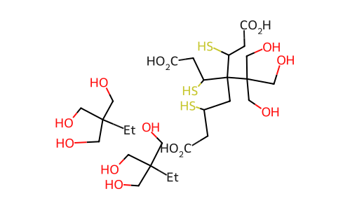 CCC(CO)(CO)CO.CCC(CO)(CO)CO.O=C(O)CC(S)CC(C(S)CC(=O)O)(C(S)CC(=O)O)C(CO)(CO)CO